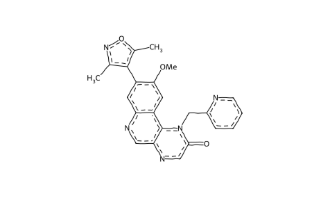 COc1cc2c(cc1-c1c(C)noc1C)ncc1ncc(=O)n(Cc3ccccn3)c12